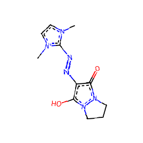 Cn1cc[n+](C)c1/N=N/c1c(O)n2n(c1=O)CCC2